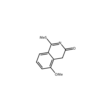 COc1cccc2c1CC(=O)N=C2SC